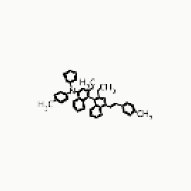 CCc1cc(/C=C/c2ccc(C)cc2)c2ccccc2c1-c1c(CC)cc(N(c2ccccc2)c2ccc(C)cc2)c2ccccc12